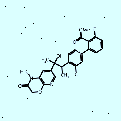 COC(=O)c1c(F)cccc1-c1ccc(C(C)C(O)(c2cnc3c(c2)N(C)C(=O)CO3)C(F)(F)F)c(Cl)c1